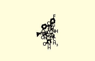 CC(C)C[C@H](NC(=O)OC(c1ccc(F)cc1)C(C)(C)c1cccc(Cl)c1)C(=O)N[C@@H](C[C@@H]1CCNC1=O)C(=O)C(=O)NC1CC1